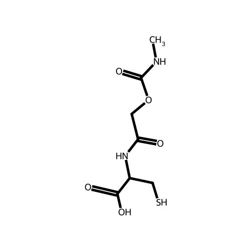 CNC(=O)OCC(=O)NC(CS)C(=O)O